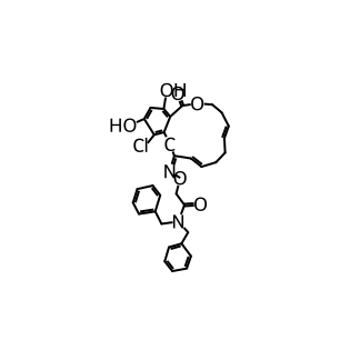 O=C1OCC/C=C/CC/C=C/C(=N\OCC(=O)N(Cc2ccccc2)Cc2ccccc2)Cc2c(Cl)c(O)cc(O)c21